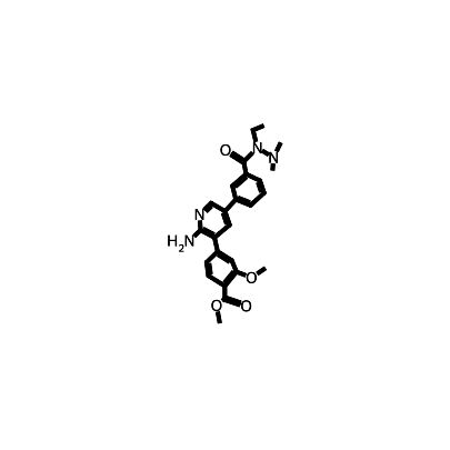 CCN(C(=O)c1cccc(-c2cnc(N)c(-c3ccc(C(=O)OC)c(OC)c3)c2)c1)N(C)C